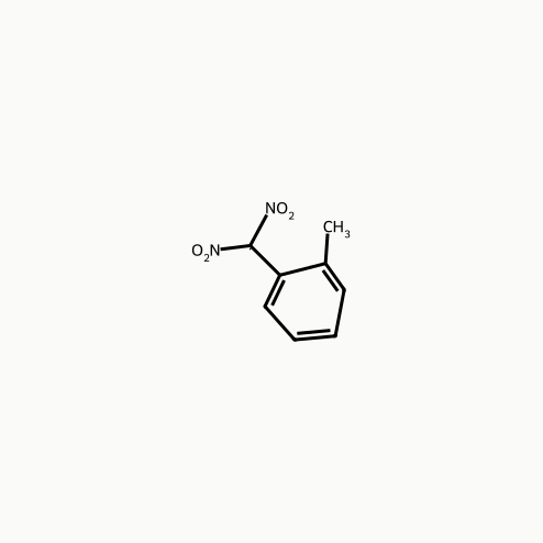 Cc1ccccc1[C]([N+](=O)[O-])[N+](=O)[O-]